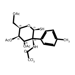 CC(=O)OC[C@H]1O[C@@H](S)[C@](NC(=O)C(Cl)(Cl)Cl)(c2ccc(C)cc2)[C@@H](OC(C)=O)[C@H]1OC(C)=O